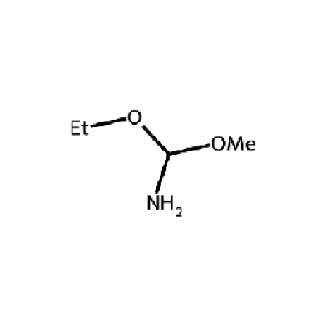 CCOC(N)OC